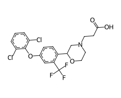 O=C(O)CCN1CCOC(c2ccc(Oc3c(Cl)cccc3Cl)cc2C(F)(F)F)C1